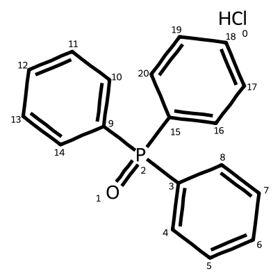 Cl.O=P(c1ccccc1)(c1ccccc1)c1ccccc1